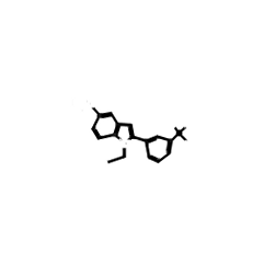 CCn1c(-c2cccc(C(F)(F)F)c2)cc2cc(N)ccc21